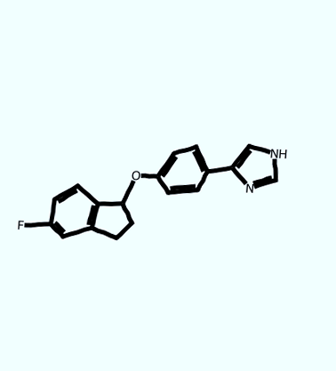 Fc1ccc2c(c1)CCC2Oc1ccc(-c2c[nH]cn2)cc1